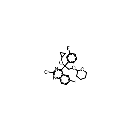 Fc1cccc(C(COC2CCCCO2)(OC2CC2)c2nc(Cl)nc3ccc(I)cc23)c1